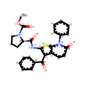 CC(C)(C)OC(=O)N1CCC[C@@H]1C(=O)Nc1sc2c(ccc(=O)n2-c2ccccc2)c1C(=O)c1ccccc1